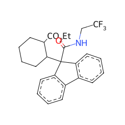 CCOC(=O)C1CCCCC1C1(C(=O)NCC(F)(F)F)c2ccccc2-c2ccccc21